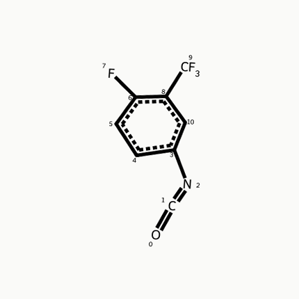 O=C=Nc1ccc(F)c(C(F)(F)F)c1